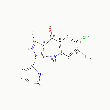 Cc1nn(-c2ccccn2)c2[nH]c3cc(F)c(Cl)cc3c(=O)c12